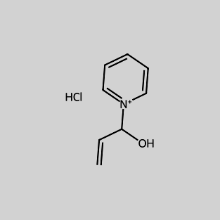 C=CC(O)[n+]1ccccc1.Cl